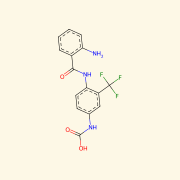 Nc1ccccc1C(=O)Nc1ccc(NC(=O)O)cc1C(F)(F)F